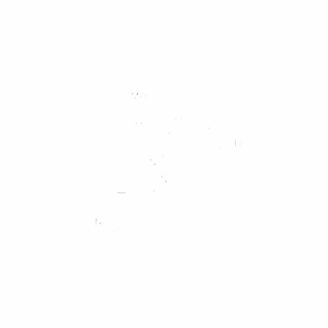 COCCOc1cc(Oc2ccc(S(C)(=O)=O)cc2)cc(C(=O)Nc2ncc(Oc3cccc(C(=O)N4CCC4)c3)s2)c1